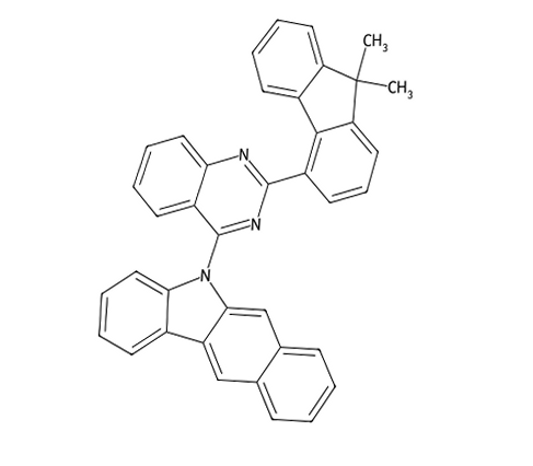 CC1(C)c2ccccc2-c2c(-c3nc(-n4c5ccccc5c5cc6ccccc6cc54)c4ccccc4n3)cccc21